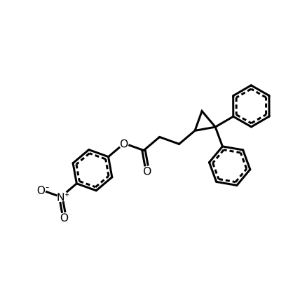 O=C(CCC1CC1(c1ccccc1)c1ccccc1)Oc1ccc([N+](=O)[O-])cc1